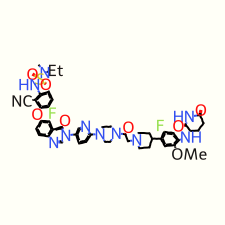 CCN(C)S(=O)(=O)Nc1ccc(F)c(Oc2ccc3ncn(-c4ccc(N5CCN(C(=O)CN6CCC(c7cc(OC)c(NC8CCC(=O)NC8=O)cc7F)CC6)CC5)nc4)c(=O)c3c2)c1C#N